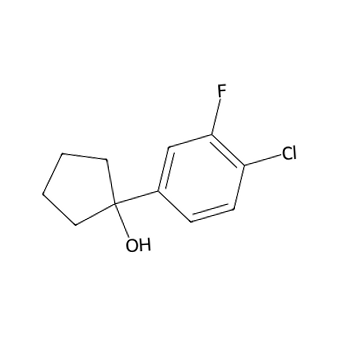 OC1(c2ccc(Cl)c(F)c2)CCCC1